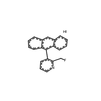 FCc1ncccc1-c1c2ccccc2cc2ccccc12.I